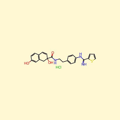 Cl.N=C(Nc1ccc(CCNC(=O)C2(O)C=Cc3ccc(O)cc3C2)cc1)c1cccs1